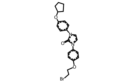 O=c1n(-c2ccc(OCCBr)cc2)ccn1-c1ccc(OC2CCCC2)cc1